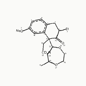 CCC1Cc2ccc(OC)cc2C(CC(=O)O)(C2CC(C)OCCO2)C1=O